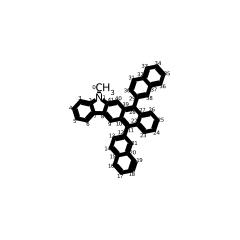 Cn1c2ccccc2c2cc3c(-c4ccc5ccc#cc5c4)c4ccccc4c(-c4ccc5ccccc5c4)c3cc21